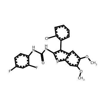 COc1cc2sc(NC(=O)Nc3ccc(F)cc3F)c(-c3ccccc3Cl)c2cc1OC